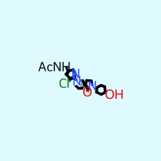 CC(=O)Nc1cnc(N2CCC[C@@]3(CCN(C4CCC(O)CC4)C3=O)C2)c(Cl)c1